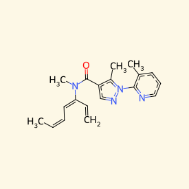 C=C/C(=C\C=C/C)N(C)C(=O)c1cnn(-c2ncccc2C)c1C